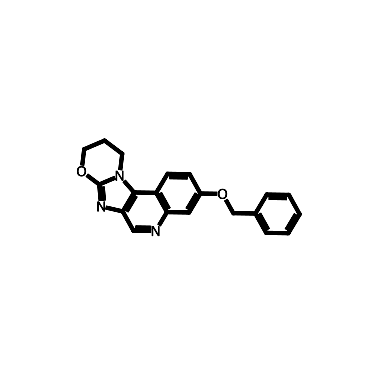 c1ccc(COc2ccc3c(c2)ncc2nc4n(c23)CCCO4)cc1